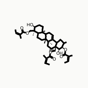 C/C=C(/C)C(=O)OC[C@@]12C(CC(C)[C@@H](OC(=O)/C(C)=C\C)[C@@H]1O)C1=CCC3[C@@]4(C)CC[C@H](O)[C@](C)(COC(=O)/C(C)=C\C)C4CC[C@@]3(C)[C@]1(C)C[C@H]2O